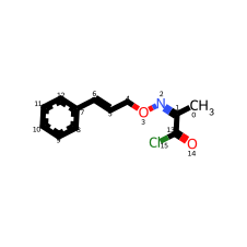 CC(=NOCC=Cc1ccccc1)C(=O)Cl